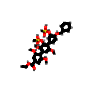 CCOC(=O)c1cc(OC)c(-c2cc(OC)c(-c3ccc(OCc4ccccc4)c(OS(C)(=O)=O)c3)c(OS(C)(=O)=O)c2OC)c(OC)c1